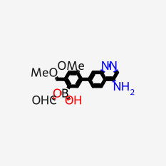 COCc1cc(OC)c(-c2ccc3c(N)cnnc3c2)cc1B(O)OC=O